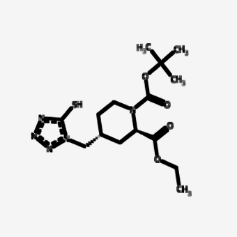 CCOC(=O)[C@H]1C[C@H](Cn2nnnc2S)CCN1C(=O)OC(C)(C)C